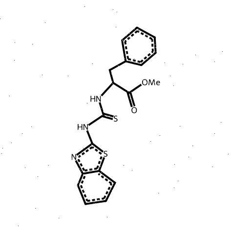 COC(=O)C(Cc1ccccc1)NC(=S)Nc1nc2ccccc2s1